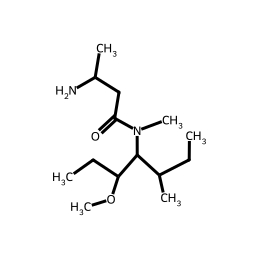 CCC(C)C(C(CC)OC)N(C)C(=O)CC(C)N